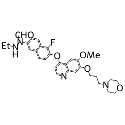 CCNN(C=O)c1ccc2c(F)c(Oc3ccnc4cc(OCCCN5CCOCC5)c(OC)cc34)ccc2c1